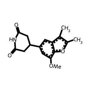 COc1cc(C2CC(=O)NC(=O)C2)cc2c(C)c(C)oc12